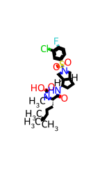 CN(C(=O)O)[C@@H](CCCC(C)(C)C)C(=O)N[C@H]1CC[C@@H]2CN(S(=O)(=O)c3ccc(F)c(Cl)c3)C[C@@H]21